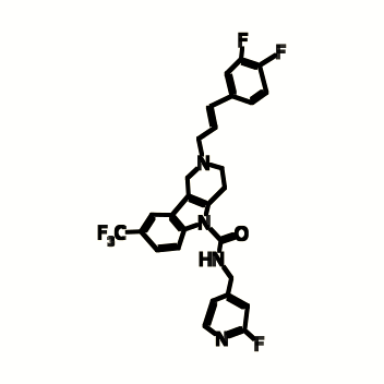 O=C(NCc1ccnc(F)c1)n1c2c(c3cc(C(F)(F)F)ccc31)CN(CC=Cc1ccc(F)c(F)c1)CC2